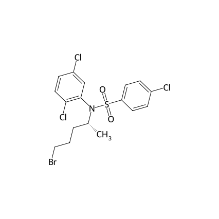 C[C@H](CCCBr)N(c1cc(Cl)ccc1Cl)S(=O)(=O)c1ccc(Cl)cc1